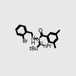 CCC[C@H](N(NCc1ccccc1Br)C(=O)c1cc(C)cc(C)c1)C(C)(C)C